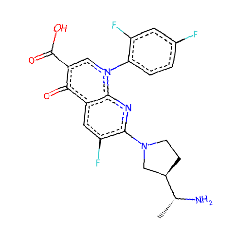 C[C@@H](N)[C@@H]1CCN(c2nc3c(cc2F)c(=O)c(C(=O)O)cn3-c2ccc(F)cc2F)C1